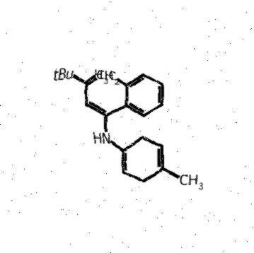 C=C(/C=C(/NC1=CCC(C)=CC1)c1ccccc1C)C(C)(C)C